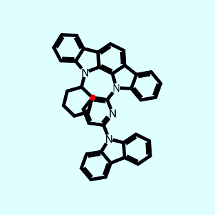 c1cc(-n2c3ccccc3c3ccccc32)nc(-n2c3ccccc3c3ccc4c5ccccc5n(C5CCCCC5)c4c32)c1